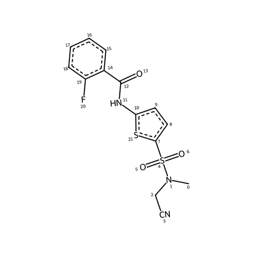 CN(CC#N)S(=O)(=O)c1ccc(NC(=O)c2ccccc2F)s1